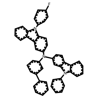 Fc1ccc(-n2c3ccccc3c3cc(N(c4cccc(-c5ccccc5)c4)c4ccc5c6ccccc6n(-c6ccccc6)c5c4)ccc32)cc1